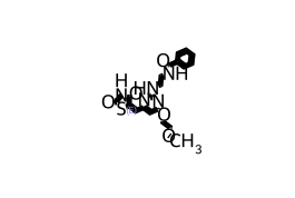 COCCOc1cc(/C=C2/SC(=O)NC2=O)nc(NCCNC(=O)c2ccccc2)n1